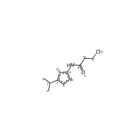 CC(C)c1cnc(NC(=O)CCCl)s1